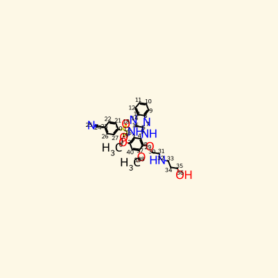 COc1cc(Nc2nc3ccccc3nc2NS(=O)(=O)c2ccc(C#N)cc2)c(OCCNCCCO)c(OC)c1